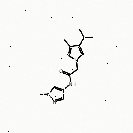 Cc1nn(CC(=O)Nc2cnn(C)c2)cc1C(C)C